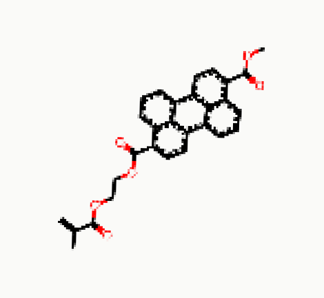 C=C(C)C(=O)OCCOC(=O)c1ccc2c3cccc4c(C(=O)OC)ccc(c5cccc1c52)c43